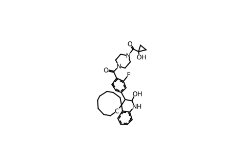 O=C(c1ccc(C2C(O)Nc3ccccc3C23CCCCCCCCC3)cc1F)N1CCN(C(=O)C2(O)CC2)CC1